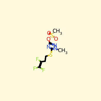 Cn1nc(OS(C)(=O)=O)nc1SCCC(F)=C(F)F